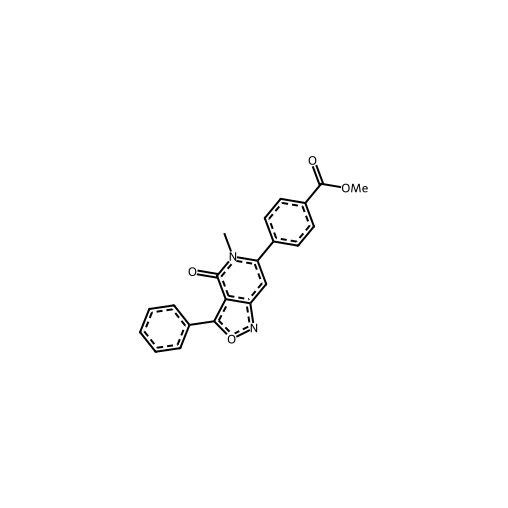 COC(=O)c1ccc(-c2cc3noc(-c4ccccc4)c3c(=O)n2C)cc1